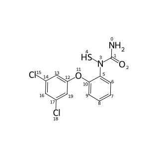 NC(=O)N(S)c1ccccc1Oc1cc(Cl)cc(Cl)c1